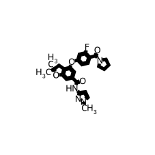 Cn1ccc(NC(=O)c2cc(Oc3ccc(C(=O)N4CCCC4)c(F)c3)c3c(c2)OC(C)(C)C3)n1